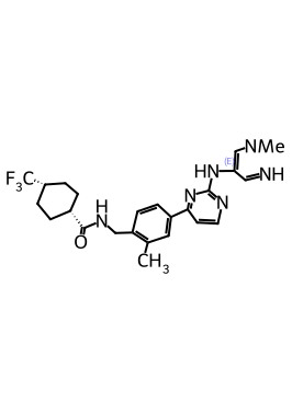 CN/C=C(\C=N)Nc1nccc(-c2ccc(CNC(=O)[C@H]3CC[C@@H](C(F)(F)F)CC3)c(C)c2)n1